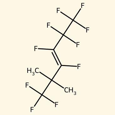 CC(C)(C(F)=C(F)C(F)(F)C(F)(F)F)C(F)(F)F